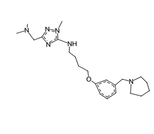 CN(C)Cc1nc(NCCCCOc2cccc(CN3CCCCC3)c2)n(C)n1